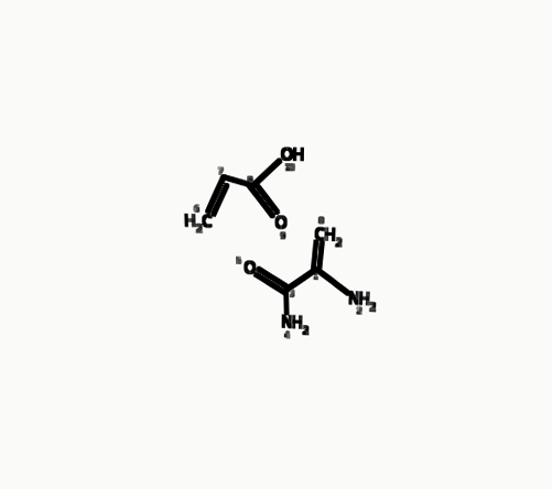 C=C(N)C(N)=O.C=CC(=O)O